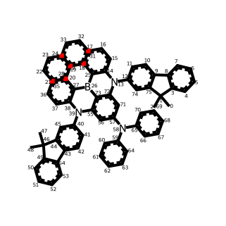 CC1(C)c2ccccc2-c2ccc(N3c4cccc(-c5ccccc5)c4B4c5c(-c6ccccc6)cccc5N(c5ccc6c(c5)C(C)(C)c5ccccc5-6)c5cc(N(c6ccccc6)c6ccccc6)cc3c54)cc21